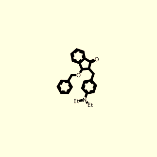 CCN(CC)c1ccc(CC2C(=O)c3ccccc3C2OCc2ccccc2)cc1